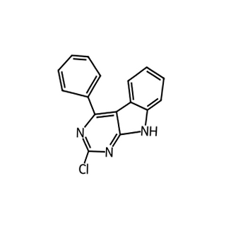 Clc1nc(-c2ccccc2)c2c(n1)[nH]c1ccccc12